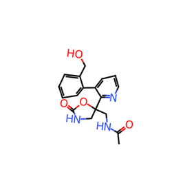 CC(=O)NCC1(c2ncccc2-c2ccccc2CO)CNC(=O)O1